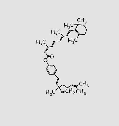 C=CC(C)(/C=C/c1ccc(OC(=O)\C=C(C)/C=C/C=C(C)/C=C/C2=C(C)CCCC2(C)C)cc1)CCC=C(C)C